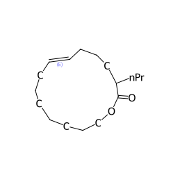 CCCC1CCC/C=C/CCCCCCCOC1=O